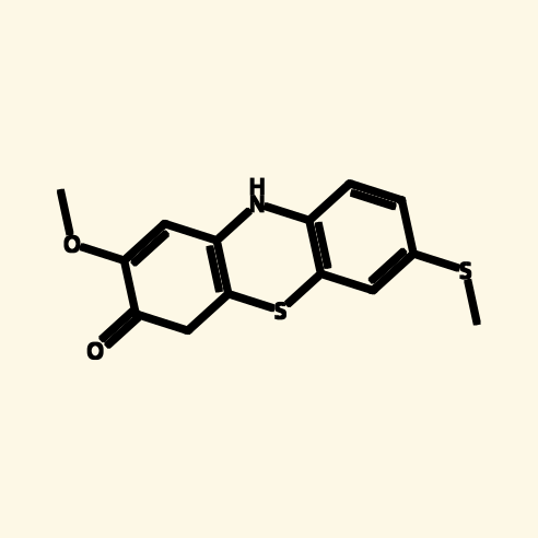 COC1=CC2=C(CC1=O)Sc1cc(SC)ccc1N2